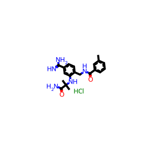 Cc1cccc(C(=O)NCc2ccc(C(=N)N)cc2NC(C)(C)C(N)=O)c1.Cl